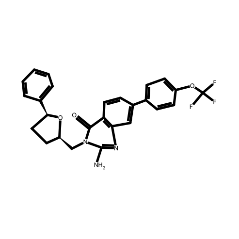 Nc1nc2cc(-c3ccc(OC(F)(F)F)cc3)ccc2c(=O)n1C[C@H]1CC[C@@H](c2ccccc2)O1